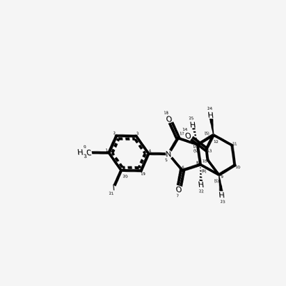 Cc1ccc(N2C(=O)[C@@H]3[C@H]4CC[C@H](C(=O)C4)[C@@H]3C2=O)cc1I